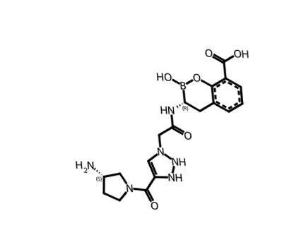 N[C@H]1CCN(C(=O)C2=CN(CC(=O)N[C@H]3Cc4cccc(C(=O)O)c4OB3O)NN2)C1